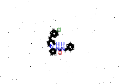 O=C(NCc1ccccc1)NC1CCCC1N1CCC(Cc2ccc(Cl)cc2)CC1